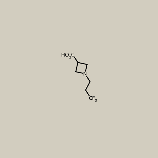 O=C(O)C1CN(CCC(F)(F)F)C1